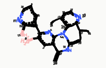 Bc1cc2c(nc1-c1cccnc1B)N1C(=CC(C)c3nccc(C)c31)NC2=C